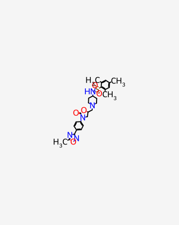 Cc1cc(C)c(S(=O)(=O)NC2CCN(CC3CN(c4ccc(-c5noc(C)n5)cc4)C(=O)O3)CC2)c(C)c1